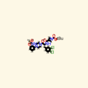 CC(C)(C)OC(=O)N1CC(C(=O)N[C@H](Cc2ccc(Cl)c(Cl)c2)C(=O)N2CCN(c3ccccc3NS(C)(=O)=O)CC2)C1